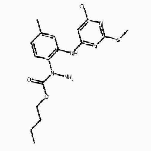 CCCCOC(=O)N(N)c1ccc(C)cc1Nc1cc(Cl)nc(SC)n1